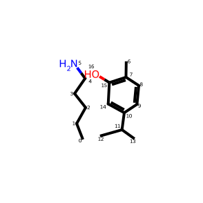 CCCCCN.Cc1ccc(C(C)C)cc1O